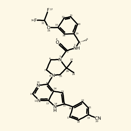 C[C@H](NC(=O)N1CCN(c2ncnc3[nH]c(-c4ccc(C#N)cc4)cc23)CC1(C)C)c1cccc(OC(F)F)c1